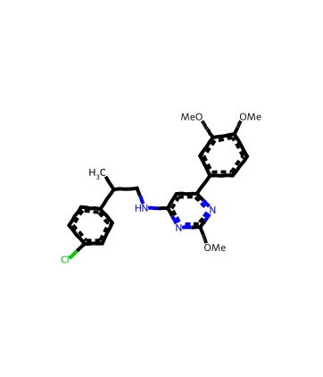 COc1nc(NCC(C)c2ccc(Cl)cc2)cc(-c2ccc(OC)c(OC)c2)n1